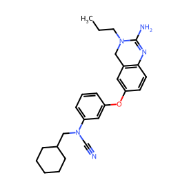 CCCN1Cc2cc(Oc3cccc(N(C#N)CC4CCCCC4)c3)ccc2N=C1N